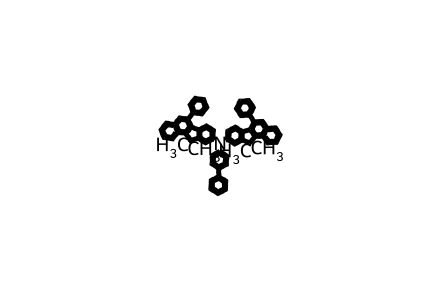 CC1(C)c2cc(N(c3ccc(-c4ccccc4)cc3)c3ccc4c(c3)C(C)(C)c3c-4c(-c4ccccc4)cc4ccccc34)ccc2-c2c(-c3ccccc3)cc3ccccc3c21